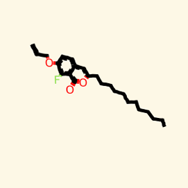 C=CCOc1ccc2cc(CCCCCCCCCCCC)oc(=O)c2c1F